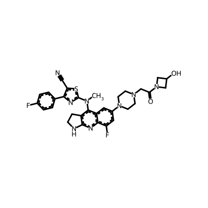 CN(c1nc(-c2ccc(F)cc2)c(C#N)s1)c1c2c(nc3c(F)cc(N4CCN(CC(=O)N5CC(O)C5)CC4)cc13)NCC2